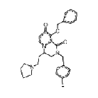 O=C1c2c(OCc3ccccc3)c(=O)ccn2C(CCN2CCCC2)CN1Cc1ccc(F)cc1